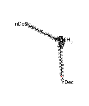 CCCCCCCCCCCCCCCCCCCCCCCCCCCCCCOC(=O)CC(C(=O)OCCCCCCCCCCCCCCCCCCCCCCCCCCCCCC)C(=S)N(C)S